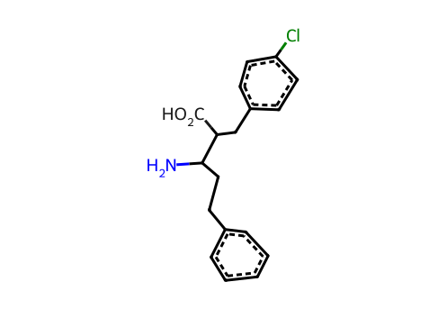 NC(CCc1ccccc1)C(Cc1ccc(Cl)cc1)C(=O)O